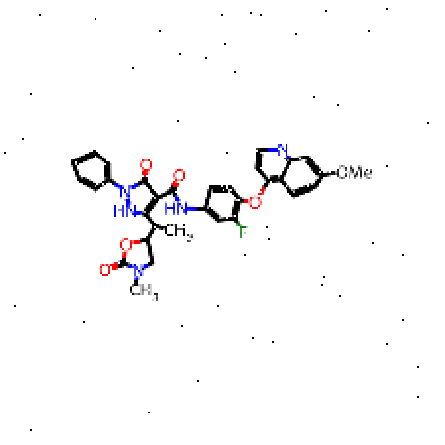 COc1ccc2c(Oc3ccc(NC(=O)c4c(C(C)C5CN(C)C(=O)O5)[nH]n(-c5ccccc5)c4=O)cc3F)ccnc2c1